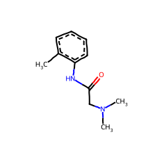 Cc1ccccc1NC(=O)CN(C)C